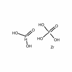 O=P(O)(O)O.O=[PH](O)O.[Zr]